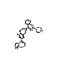 c1cnc2nc(N3CCOCC3)nc(N3CCc4ncc(N5CCCn6nccc65)cc4C3)c2c1